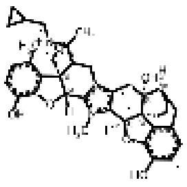 CC[C@]12c3c(C)ccc(O)c3O[C@H]1c1c(c3c(n1C)[C@@H]1Oc4c(O)ccc5c4[C@@]14CCC[C@H](C5)[C@]4(O)C3)CC2C(C)NCC1CC1